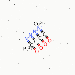 [Co+2].[N-]=C=O.[N-]=C=O.[N-]=C=O.[N-]=C=O.[Pt+2]